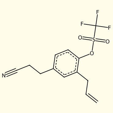 C=CCc1cc(CCC#N)ccc1OS(=O)(=O)C(F)(F)F